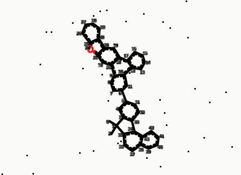 CC1(C)c2cc(-c3ccc4c(c3)c3ccccc3c3cc5c(cc43)oc3ccccc35)ccc2-c2c1ccc1ccccc21